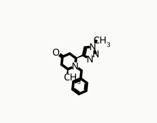 C[C@H]1CC(=O)C[C@@H](c2cn(C)nn2)N1Cc1ccccc1